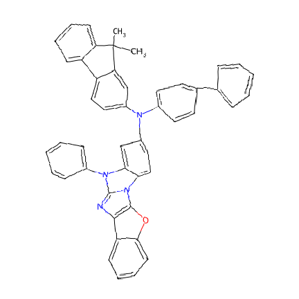 CC1(C)c2ccccc2-c2ccc(N(c3ccc(-c4ccccc4)cc3)c3ccc4c(c3)n(-c3ccccc3)c3nc5c6ccccc6oc5n43)cc21